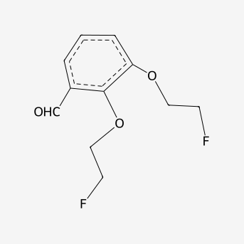 O=Cc1cccc(OCCF)c1OCCF